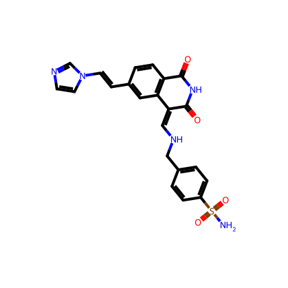 NS(=O)(=O)c1ccc(CNC=C2C(=O)NC(=O)c3ccc(C=Cn4ccnc4)cc32)cc1